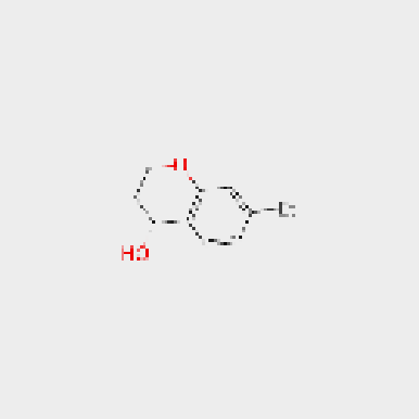 CCc1ccc2c(c1)OCC[C@H]2O